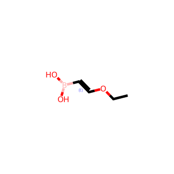 CCO/C=C/B(O)O